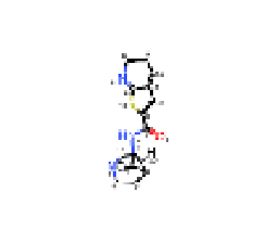 O=C(N[C@@H]1CN2CCC1CC2)c1cc2cccnc2s1